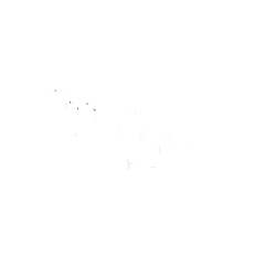 COC/C(=N\NC=O)c1ccc(/C=C/C(C)(C)C)c(C(F)(F)F)c1